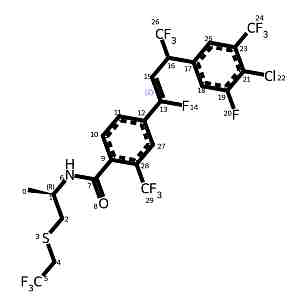 C[C@H](CSCC(F)(F)F)NC(=O)c1ccc(/C(F)=C/C(c2cc(F)c(Cl)c(C(F)(F)F)c2)C(F)(F)F)cc1C(F)(F)F